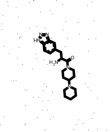 NC(Cc1ccc2[nH]nnc2c1)C(=O)N1CCC(N2CCCCC2)CC1